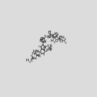 CN1CC[C@@H](Nc2cccc3c2cc(-c2noc(CNC(=O)c4coc(C(C)(C)C)n4)n2)n3CC(F)(F)F)[C@@H](F)C1